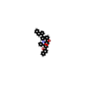 c1ccc(N(c2ccc(-c3cccc4c3ccc3ccccc34)cc2)c2cccc3oc4ccccc4c23)c(-c2cccc3c2oc2c4ccccc4ccc32)c1